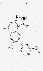 COc1cccc(-c2cc3c(cc2OC)c(C)cc2n[nH]c(=O)n23)c1